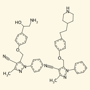 Cc1nn(-c2ccccc2)c(COc2ccc(C(O)CN)cc2)c1C#N.Cc1nn(-c2ccccc2)c(COc2ccc(CCC3CCNCC3)cc2)c1C#N